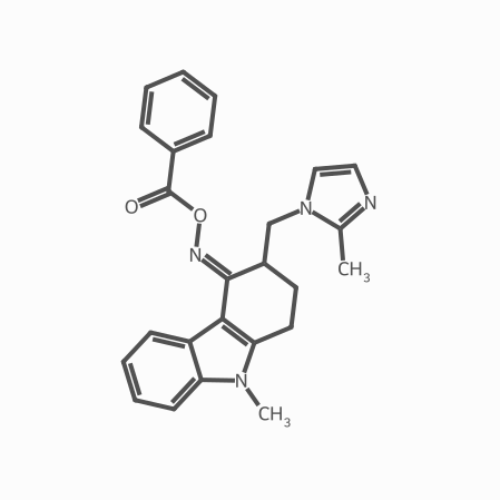 Cc1nccn1CC1CCc2c(c3ccccc3n2C)C1=NOC(=O)c1ccccc1